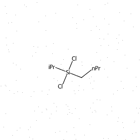 CCCC[Si](Cl)(Cl)C(C)C